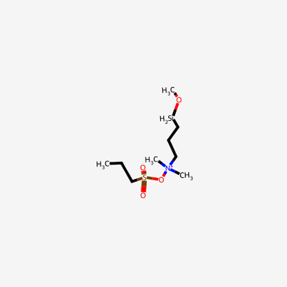 CCCS(=O)(=O)O[N+](C)(C)CCC[SiH2]OC